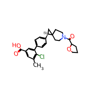 Cc1cc(C(=O)O)cc(-c2ccc([C@H]3CC34CCN(C(=O)C3CCCO3)CC4)cc2)c1Cl